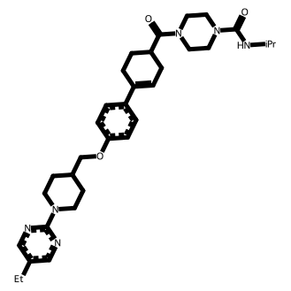 CCc1cnc(N2CCC(COc3ccc(C4=CCC(C(=O)N5CCN(C(=O)NC(C)C)CC5)CC4)cc3)CC2)nc1